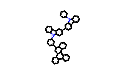 c1ccc(-n2c3ccccc3c3ccc(-c4ccc5c(c4)c4ccccc4n5-c4cccc(-c5cc6c7ccccc7c7ccccc7c6c6ccccc56)c4)cc32)cc1